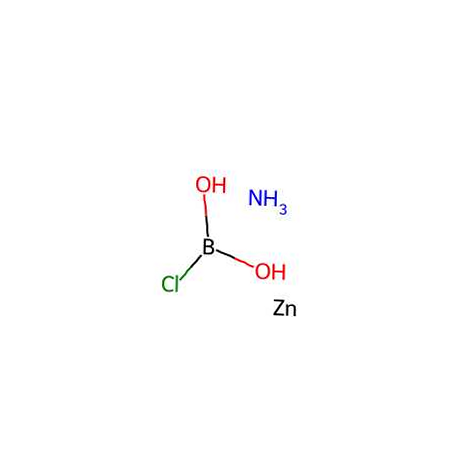 N.OB(O)Cl.[Zn]